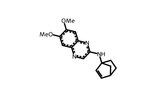 COc1cc2ncc(NC34C=CC(CC3)C4)nc2cc1OC